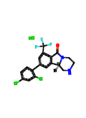 Cl.O=C1c2c(cc(-c3ccc(Cl)cc3Cl)cc2C(F)(F)F)[C@@H]2CNCCN12